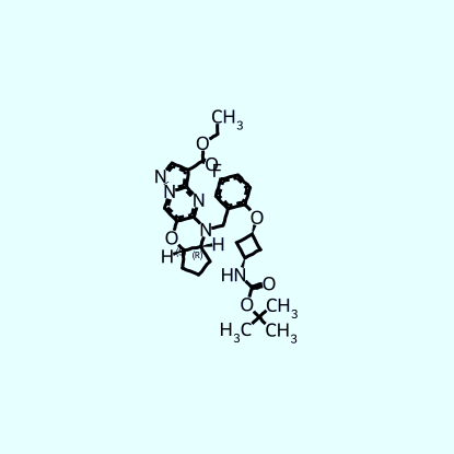 CCOC(=O)c1cnn2cc3c(nc12)N(Cc1cc(F)ccc1O[C@H]1C[C@@H](NC(=O)OC(C)(C)C)C1)[C@@H]1CCC[C@@H]1O3